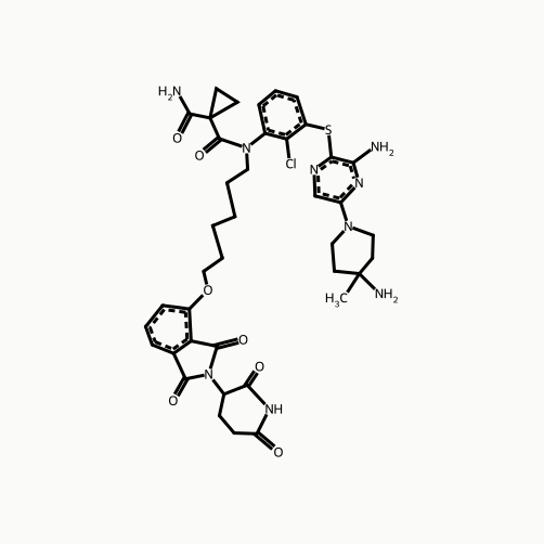 CC1(N)CCN(c2cnc(Sc3cccc(N(CCCCCCOc4cccc5c4C(=O)N(C4CCC(=O)NC4=O)C5=O)C(=O)C4(C(N)=O)CC4)c3Cl)c(N)n2)CC1